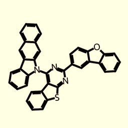 c1ccc2cc3c(cc2c1)c1ccccc1n3-c1nc(-c2ccc3oc4ccccc4c3c2)nc2sc3ccccc3c12